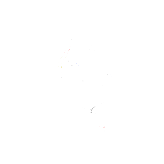 CC1CNC(CC(=O)O)CN1S(C)(=O)=O